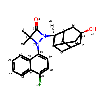 CC1(C)C(=O)N([C@H]2C3CC4CC2C[C@@](O)(C4)C3)N1c1ccc(F)c2ccccc12